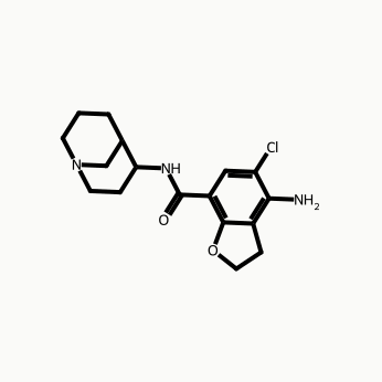 Nc1c(Cl)cc(C(=O)NC2CCN3CCCC2C3)c2c1CCO2